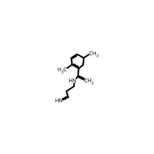 C=C(NCCC=N)C1=C(C)C=CC(C)C1